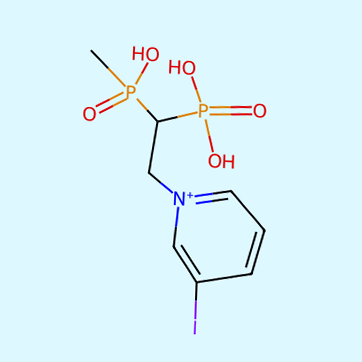 CP(=O)(O)C(C[n+]1cccc(I)c1)P(=O)(O)O